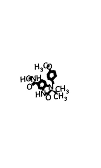 COc1ccc(CN2c3ccc(C(=O)NO)cc3NC(=O)[C@@H]2C(C)C)cc1